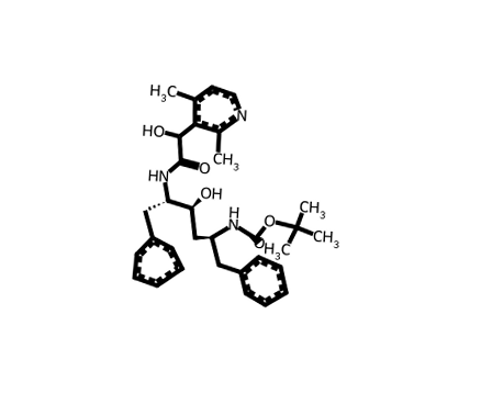 Cc1ccnc(C)c1C(O)C(=O)N[C@@H](Cc1ccccc1)[C@@H](O)C[C@H](Cc1ccccc1)NC(=O)OC(C)(C)C